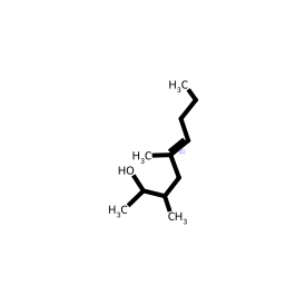 CCC/C=C(\C)CC(C)C(C)O